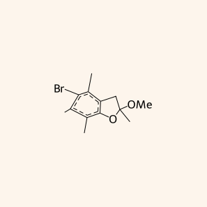 COC1(C)Cc2c(C)c(Br)c(C)c(C)c2O1